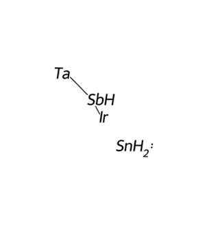 [SnH2].[Ta][SbH][Ir]